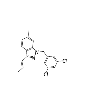 C/C=C/c1nn(Cc2cc(Cl)cc(Cl)c2)c2cc(C)ccc12